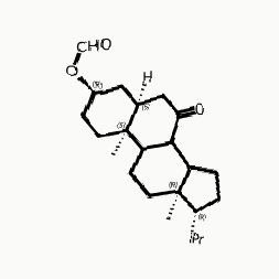 CC(C)[C@H]1CCC2C3C(=O)C[C@@H]4C[C@H](OC=O)CC[C@]4(C)C3CC[C@@]21C